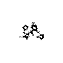 CN1CCC[C@H]1COc1ccc(C(F)(F)F)cc1C(=O)N=c1scc(C(C)(C)C)n1C[C@H]1CCCO1